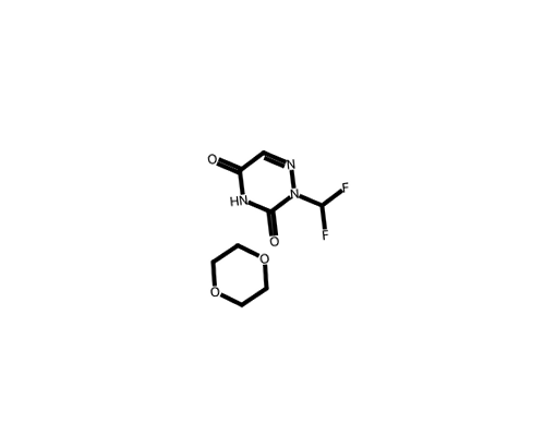 C1COCCO1.O=c1cnn(C(F)F)c(=O)[nH]1